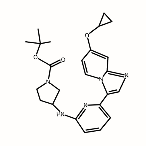 CC(C)(C)OC(=O)N1CCC(Nc2cccc(-c3cnc4cc(OC5CC5)ccn34)n2)C1